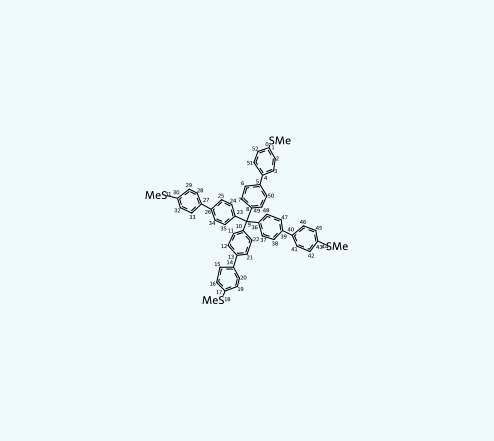 CSc1ccc(-c2ccc(C(c3ccc(-c4ccc(SC)cc4)cc3)(c3ccc(-c4ccc(SC)cc4)cc3)c3ccc(-c4ccc(SC)cc4)cc3)cc2)cc1